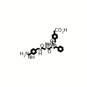 N=C(N)c1ccc(CNC(=O)CNC(=O)[C@@H](CCc2ccccc2)NS(=O)(=O)Cc2ccc(CC(=O)O)cc2)cc1